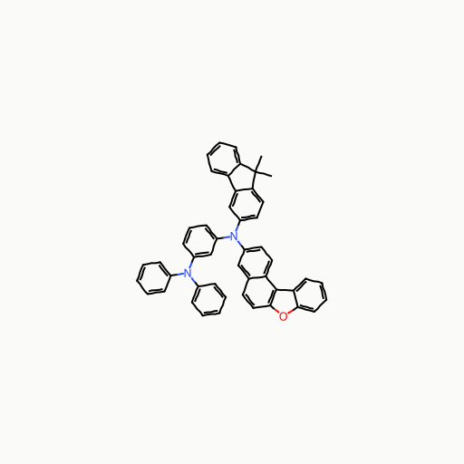 CC1(C)c2ccccc2-c2cc(N(c3cccc(N(c4ccccc4)c4ccccc4)c3)c3ccc4c(ccc5oc6ccccc6c54)c3)ccc21